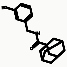 O=C(NCc1cccc(O)c1)C12CC3CC(CC(C3)C1)C2